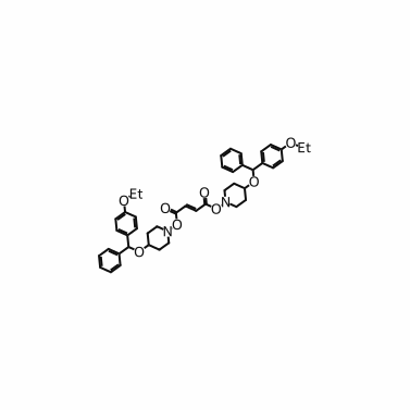 CCOc1ccc(C(OC2CCN(OC(=O)/C=C/C(=O)ON3CCC(OC(c4ccccc4)c4ccc(OCC)cc4)CC3)CC2)c2ccccc2)cc1